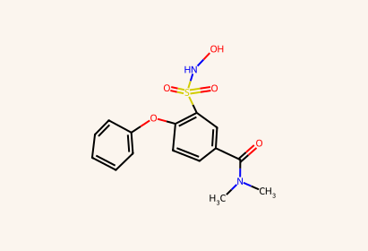 CN(C)C(=O)c1ccc(Oc2ccccc2)c(S(=O)(=O)NO)c1